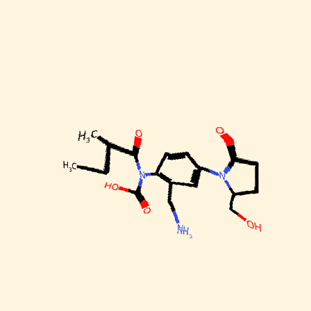 CCC(C)C(=O)N(C(=O)O)c1ccc(N2C(=O)CCC2CO)cc1CN